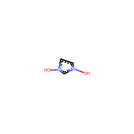 On1cc[n+](O)c1